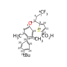 Cc1cc(OC(CCC(F)(F)F)c2ccc(C(=O)O)s2)cc(C)c1-c1ccc(C(C)(C)C)cc1